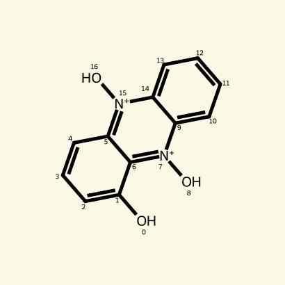 Oc1cccc2c1[n+](O)c1ccccc1[n+]2O